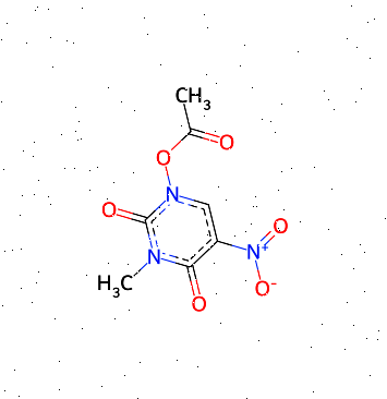 CC(=O)On1cc([N+](=O)[O-])c(=O)n(C)c1=O